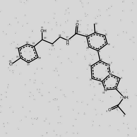 CC(=O)Nc1cn2nc(-c3ccc(C)c(C(=O)NCCC(O)c4ccc(Cl)cc4)c3)ccc2n1